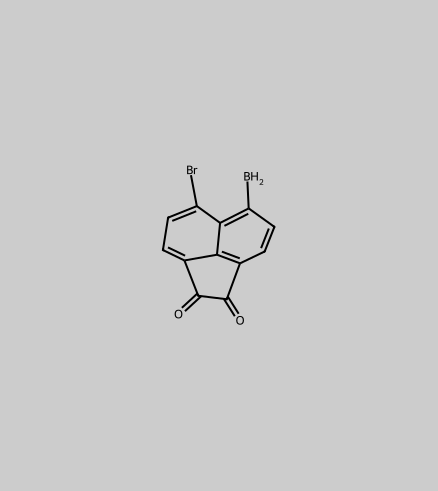 Bc1ccc2c3c(ccc(Br)c13)C(=O)C2=O